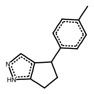 Cc1ccc(C2CCc3[nH]ncc32)cc1